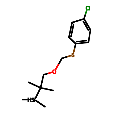 C[SiH](C)C(C)(C)COCSc1ccc(Cl)cc1